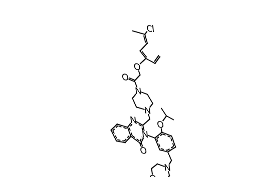 C=C/C(=C\C=C(/C)Cl)OCC(=O)N1CCN(Cc2nc3ccccc3c(=O)n2-c2cc(CN3CCOCC3)ccc2OC(C)C)CC1